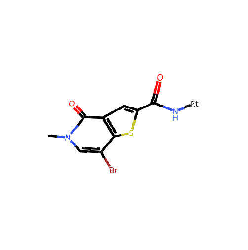 CCNC(=O)c1cc2c(=O)n(C)cc(Br)c2s1